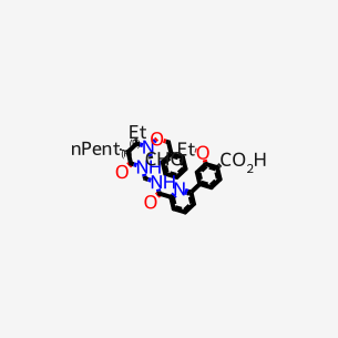 CCCCC[C@@H](C(=O)NCNC(=O)c1cccc(-c2ccc(C(=O)O)c(OCC)c2)n1)[C@@H](CC)N(C=O)OCc1ccccc1